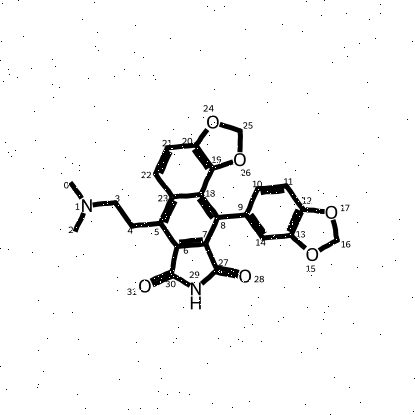 CN(C)CCc1c2c(c(-c3ccc4c(c3)OCO4)c3c4c(ccc13)OCO4)C(=O)NC2=O